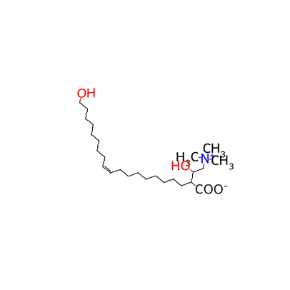 C[N+](C)(C)CC(O)C(CCCCCCCC/C=C\CCCCCCCCO)C(=O)[O-]